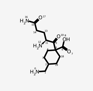 NCC1CCC(C(=O)O)(C(=O)[C@@H](N)CCC(N)=O)CC1